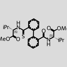 COC(=O)[C@@H](NC(=O)c1ccccc1-c1ccccc1C(=S)N[C@H](C(=O)OC)C(C)C)C(C)C